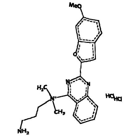 COc1ccc2cc(-c3nc([N+](C)(C)CCCN)c4ccccc4n3)oc2c1.Cl.Cl